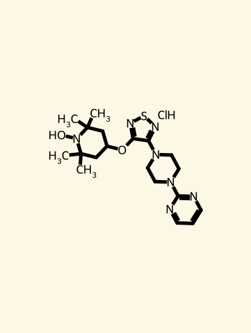 CC1(C)CC(Oc2nsnc2N2CCN(c3ncccn3)CC2)CC(C)(C)N1O.Cl